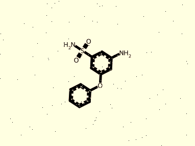 Nc1cc(Oc2ccccc2)cc(S(N)(=O)=O)c1